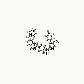 COc1cnc(Nc2ccc(C(=O)Nc3cc(CN4CCOCC4)ccc3C)cc2F)nc1-c1ccc(F)cc1